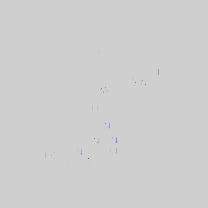 C=N/C(=N\C=C(/C)c1ccc2c(=O)n(C)n(Cc3ccccc3OC(F)F)c2c1OC)N1CCN(C(=O)CO)[C@H](C)C1